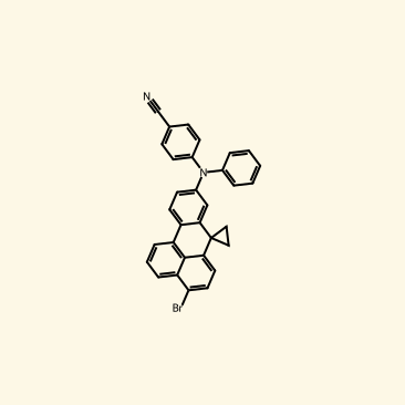 N#Cc1ccc(N(c2ccccc2)c2ccc3c(c2)C2(CC2)c2ccc(Br)c4cccc-3c24)cc1